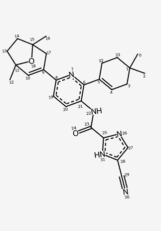 CC1(C)CC=C(c2nc(C3=CC4(C)CCC(C)(C3)O4)ccc2NC(=O)c2ncc(C#N)[nH]2)CC1